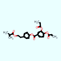 C=CC(=O)Oc1ccc(C(=O)Oc2ccc(CCOC(=O)C(=C)C)cc2)cc1OC(=O)C=C